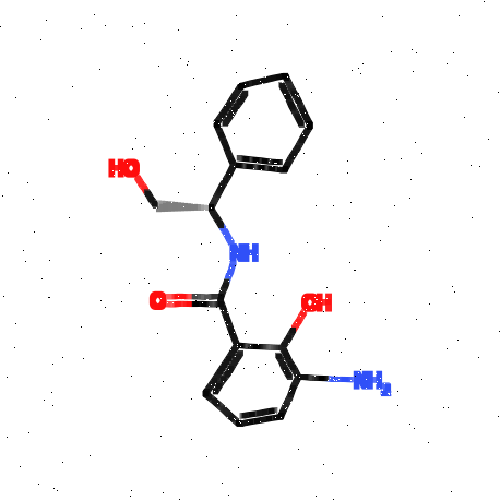 Nc1cccc(C(=O)N[C@H](CO)c2ccccc2)c1O